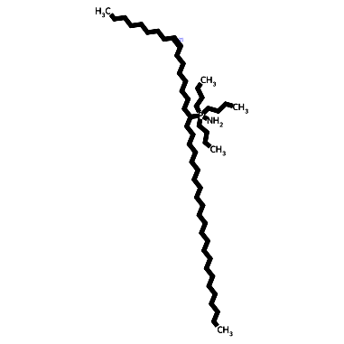 CCCCCCCC/C=C\CCCCCCCC(CCCCCCCCCCCCCCCCCCCCCCCC)P(N)(CCCC)(CCCC)CCCC